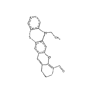 CCN1c2ccccc2Sc2cc3c(cc21)OC1=C(C=O)CCCC1=C3